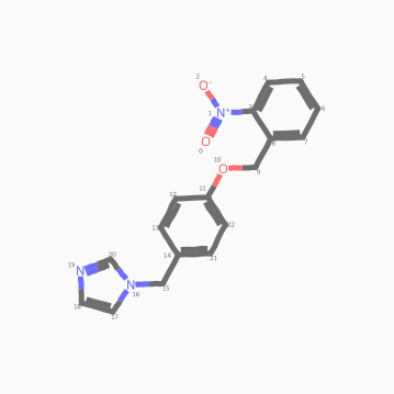 O=[N+]([O-])c1ccccc1COc1ccc(Cn2ccnc2)cc1